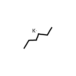 CCCCCC.[K]